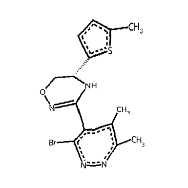 Cc1ccc([C@H]2CON=C(c3c(Br)nnc(C)c3C)N2)s1